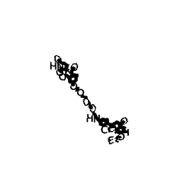 CCOc1cc2oc(-c3ccc(NCCOCCOCCOCCOc4ccc5c(c4)C(=O)N(C4CCC(=O)NC4=O)C5=O)cc3Cl)cc(=O)c2cc1I